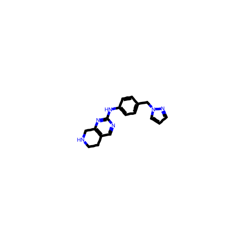 c1cnn(Cc2ccc(Nc3ncc4c(n3)CNCC4)cc2)c1